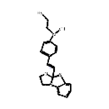 CN(CCS)c1ccc(/C=C/C23OCCN2c2ccccc2S3)cc1